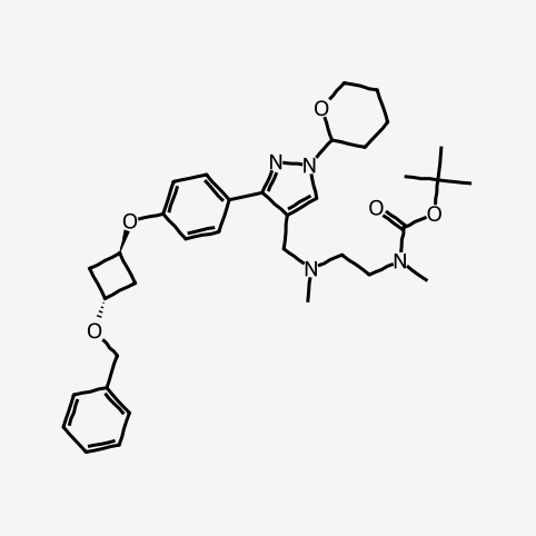 CN(CCN(C)C(=O)OC(C)(C)C)Cc1cn(C2CCCCO2)nc1-c1ccc(O[C@H]2C[C@H](OCc3ccccc3)C2)cc1